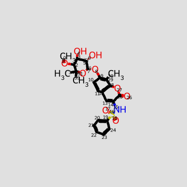 COC1C(O)[C@H](O)[C@H](Oc2ccc3cc(NS(=O)(=O)c4ccccc4)c(=O)oc3c2C)OC1(C)C